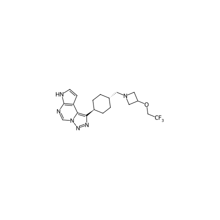 FC(F)(F)COC1CN(C[C@H]2CC[C@H](c3nnn4cnc5[nH]ccc5c34)CC2)C1